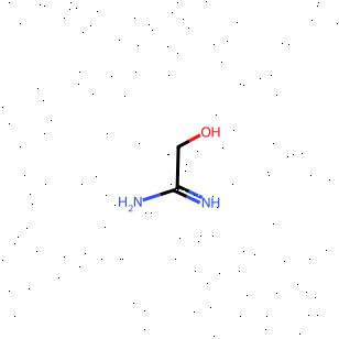 N=C(N)CO